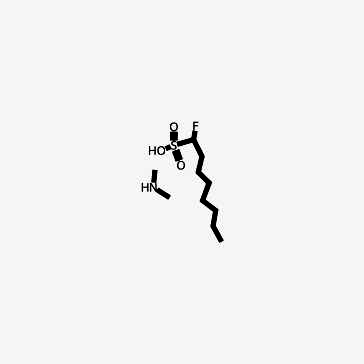 CCCCCCCC(F)S(=O)(=O)O.CNC